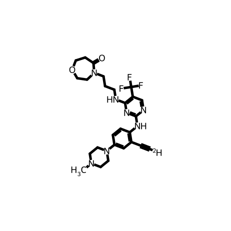 [2H]C#Cc1cc(N2CCN(C)CC2)ccc1Nc1ncc(C(F)(F)F)c(NCCCN2CCOCCC2=O)n1